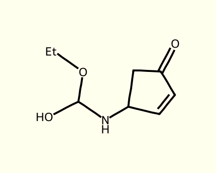 CCOC(O)NC1C=CC(=O)C1